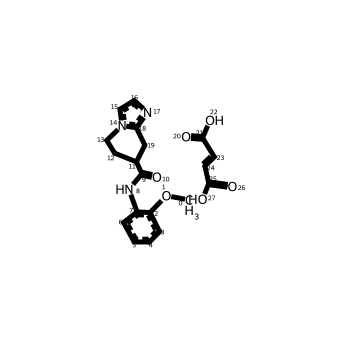 COc1ccccc1NC(=O)C1CCn2ccnc2C1.O=C(O)/C=C/C(=O)O